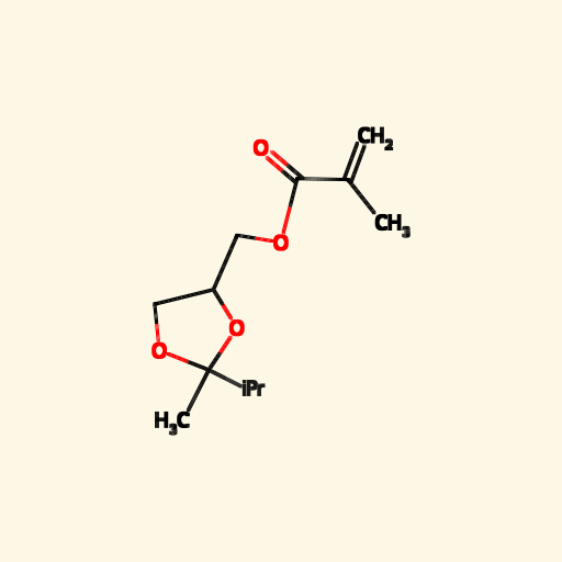 C=C(C)C(=O)OCC1COC(C)(C(C)C)O1